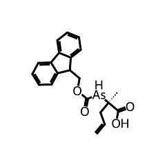 C=CC[C@@](C)([AsH]C(=O)OCC1c2ccccc2-c2ccccc21)C(=O)O